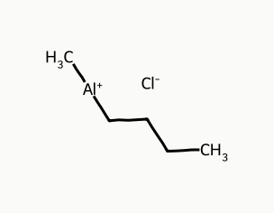 CCC[CH2][Al+][CH3].[Cl-]